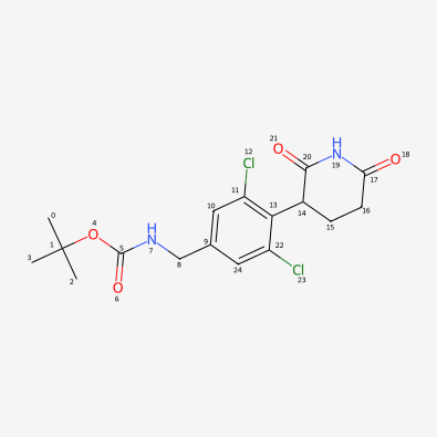 CC(C)(C)OC(=O)NCc1cc(Cl)c(C2CCC(=O)NC2=O)c(Cl)c1